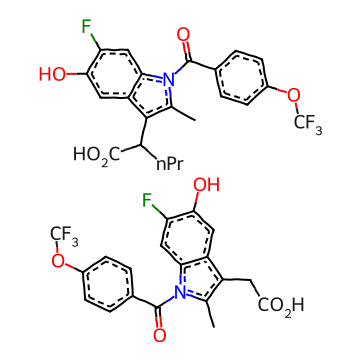 CCCC(C(=O)O)c1c(C)n(C(=O)c2ccc(OC(F)(F)F)cc2)c2cc(F)c(O)cc12.Cc1c(CC(=O)O)c2cc(O)c(F)cc2n1C(=O)c1ccc(OC(F)(F)F)cc1